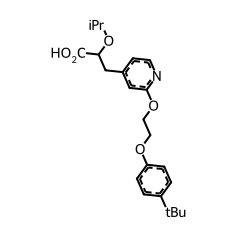 CC(C)OC(Cc1ccnc(OCCOc2ccc(C(C)(C)C)cc2)c1)C(=O)O